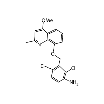 COc1cc(C)nc2c(OCc3c(Cl)ccc(N)c3Cl)cccc12